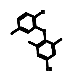 Cc1ccc(Cl)c(Oc2c(C)cc(C#N)cc2C)c1